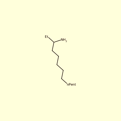 CCCCCCCCCCC(N)CC